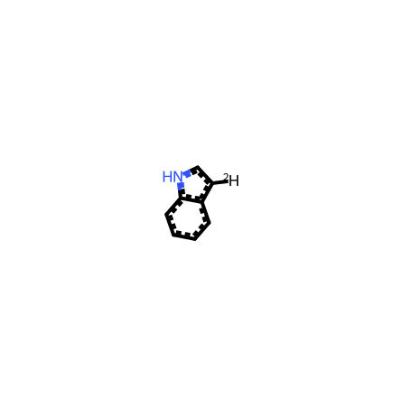 [2H]c1c[nH]c2ccccc12